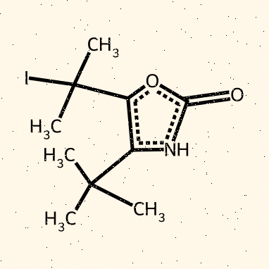 CC(C)(C)c1[nH]c(=O)oc1C(C)(C)I